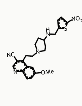 COc1ccc2ncc(C#N)c(CCN3CCC(NCc4ccc([N+](=O)[O-])s4)CC3)c2c1